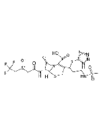 CS(=O)(=O)NCCC(Sc1nnn[nH]1)C1=C(C(=O)O)N2C(=O)[C@@H](NC(=O)C[S+]([O-])CC(F)(F)F)[C@@H]2SC1